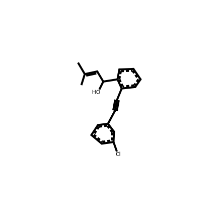 CC(C)=CC(O)c1ccccc1C#Cc1cccc(Cl)c1